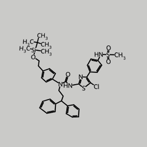 CC(C)(C)[Si](C)(C)OCCc1ccc(N(CCC(c2ccccc2)c2ccccc2)C(=O)Nc2nc(-c3ccc(NS(C)(=O)=O)cc3)c(Cl)s2)cc1